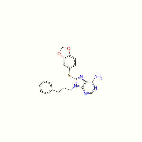 Nc1ncnc2c1nc(Sc1ccc3c(c1)OCO3)n2CCCc1ccccc1